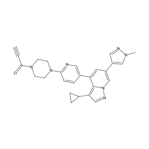 C#CC(=O)N1CCN(c2ccc(-c3cc(-c4cnn(C)c4)cn4ncc(C5CC5)c34)cn2)CC1